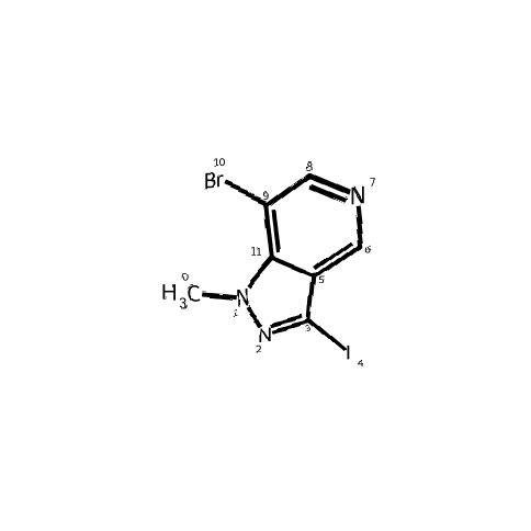 Cn1nc(I)c2cncc(Br)c21